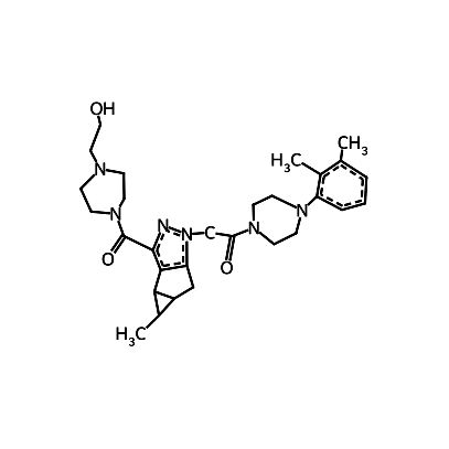 Cc1cccc(N2CCN(C(=O)Cn3nc(C(=O)N4CCN(CCO)CC4)c4c3CC3C(C)C43)CC2)c1C